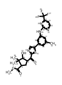 COC(=O)C1CC(C(=O)c2ncc(-c3cc(C)cc(Nc4nccc(C(F)(F)F)n4)c3)s2)C(O)C1(C)C